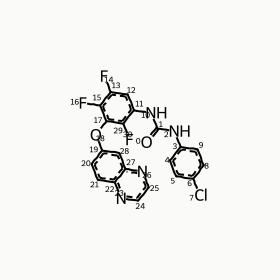 O=C(Nc1ccc(Cl)cc1)Nc1cc(F)c(F)c(Oc2ccc3nccnc3c2)c1F